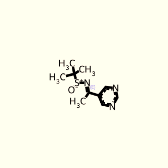 C/C(=N\[S+]([O-])C(C)(C)C)c1cncnc1